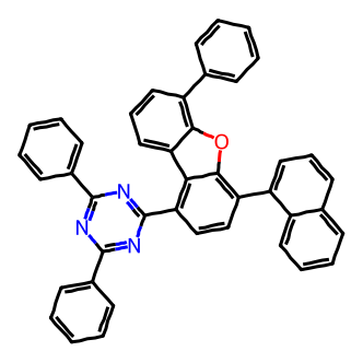 c1ccc(-c2nc(-c3ccccc3)nc(-c3ccc(-c4cccc5ccccc45)c4oc5c(-c6ccccc6)cccc5c34)n2)cc1